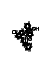 O=C(O)C1CCCCC1C(=O)N1CCc2c(Cl)ccc(OCC3=CN4C=CCN=C4N3)c2[C@H]1CN1CCCC1=O